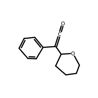 O=C=C(c1ccccc1)C1CCCCO1